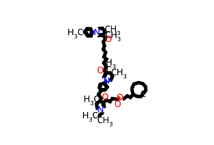 Cc1ccc(N2C=C(C(=O)CCCCCCCCC(=O)C3=CN(c4ccc(CCC5(C)CCN(CC(C)C)C=C5C(=O)CCC(=O)OCCCC5CCCCCCCCCC5)cc4)CCC3(C)C)C(C)(C)CC2)cc1